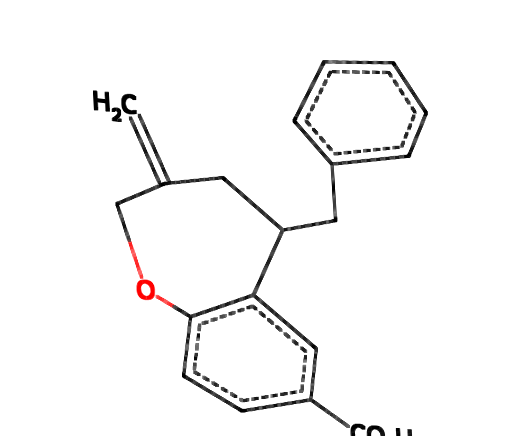 C=C1COc2ccc(C(=O)O)cc2C(Cc2ccccc2)C1